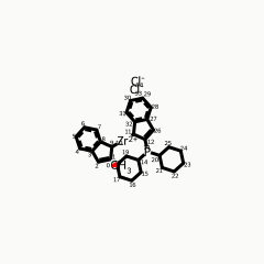 CC1=Cc2ccccc2[CH]1[Zr+2][CH]1C(P(C2CCCCC2)C2CCCCC2)=Cc2ccccc21.[Cl-].[Cl-]